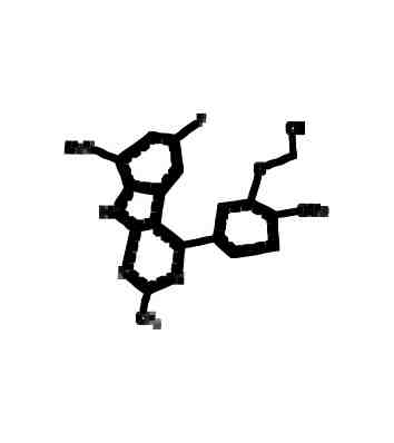 CNc1cc(F)cc2c1[nH]c1nc(C)nc(-c3ccc(OC)c(OCC#N)c3)c12